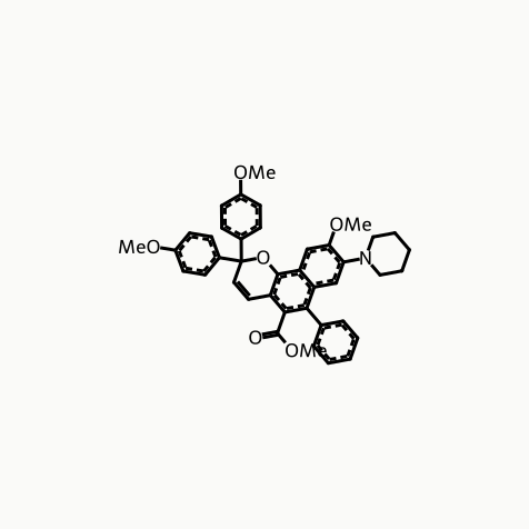 COC(=O)c1c2c(c3cc(OC)c(N4CCCCC4)cc3c1-c1ccccc1)OC(c1ccc(OC)cc1)(c1ccc(OC)cc1)C=C2